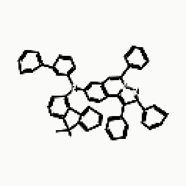 CC1(C)c2ccccc2-c2c(N(c3cccc(-c4ccccc4)c3)c3ccc4c(c3)cc(-c3ccccc3)n3nc(-c5ccccc5)c(-c5ccccc5)c43)cccc21